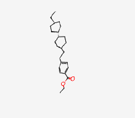 CCOC(=O)c1ccc(CCC2CCC([C@H]3CC[C@H](CC)CC3)CC2)cc1